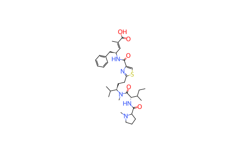 CCC(C)[C@H](NC(=O)C1CCCN1C)C(=O)N(C)[C@H](CCc1nc(C(=O)N[C@H](/C=C(\C)C(=O)O)Cc2ccccc2)cs1)C(C)C